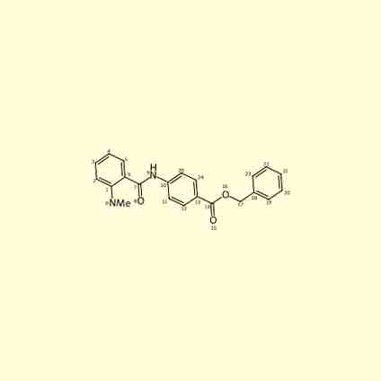 CNc1ccccc1C(=O)Nc1ccc(C(=O)OCc2ccccc2)cc1